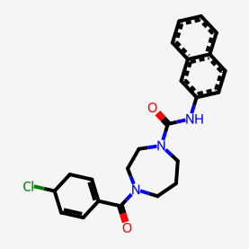 O=C(Nc1ccc2ccccc2c1)N1CCCN(C(=O)C2=CCC(Cl)C=C2)CC1